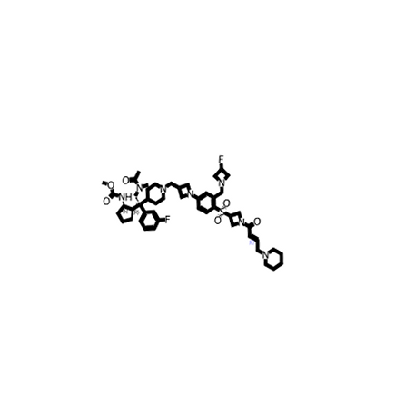 COC(=O)N[C@H]1CCC[C@@H]1[C@](CN(C)C(C)=O)(c1cccc(F)c1)C1CCN(CC2CN(c3ccc(S(=O)(=O)C4CN(C(=O)/C=C/CN5CCCCC5)C4)c(CN4CC(F)C4)c3)C2)CC1